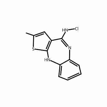 Cc1cc2c(s1)Nc1ccccc1N=C2NCl